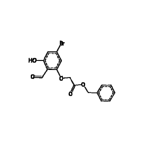 O=Cc1c(O)cc(Br)cc1OCC(=O)OCc1ccccc1